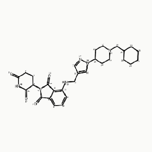 O=C1CCC(N2C(=O)c3cccc(NCc4cnn(C5CCN(CC6CCCCC6)CC5)c4)c3C2=O)C(=O)N1